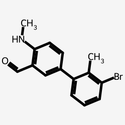 CNc1ccc(-c2cccc(Br)c2C)cc1C=O